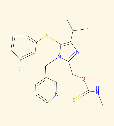 CNC(=S)OCc1nc(C(C)C)c(Sc2cccc(Cl)c2)n1Cc1cccnc1